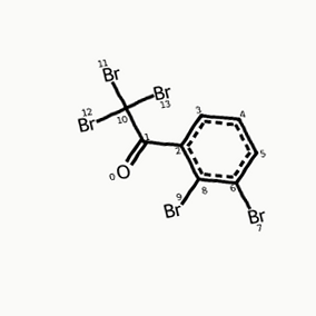 O=C(c1cccc(Br)c1Br)C(Br)(Br)Br